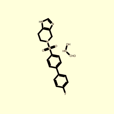 O=CNO.O=S(=O)(c1ccc(-c2ccc(F)cc2)cc1)N1CCc2[nH]cnc2C1